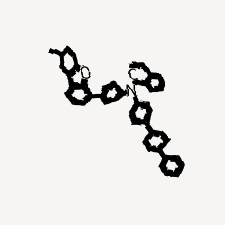 CC1C=Cc2oc3c(-c4ccc(N(c5ccc(-c6ccc(-c7ccccc7)cc6)cc5)c5cccc6ccccc56)cc4)cccc3c2C1